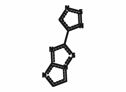 c1cn2sc(-c3cnsn3)nc2n1